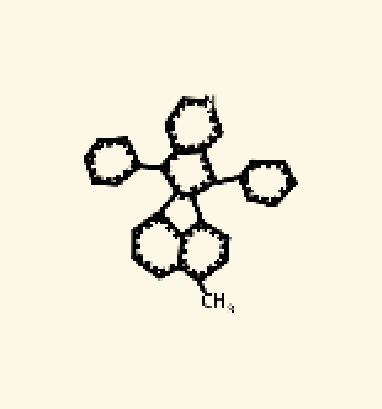 Cc1ccc2c3c(cccc13)-c1c-2c(-c2ccccc2)c2cnccc2c1-c1ccccc1